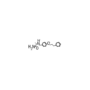 CC(NCc1ccc(OCCCc2ccccc2)cc1)C(N)=O